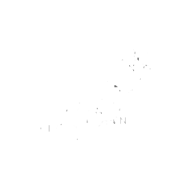 Cc1c(C=O)ccc2c1cc(C#N)n2CC(C)N1CCCN(S(C)(=O)=O)CC1